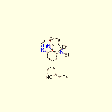 C=C/C=C(C#N)\C=C(/C=C)c1cc(N(CC)CC)c2c(c1)=NC=CC(=C)C=2/C1=C\[C@@H](C)CNCCC1